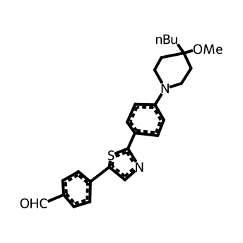 CCCCC1(OC)CCN(c2ccc(-c3ncc(-c4ccc(C=O)cc4)s3)cc2)CC1